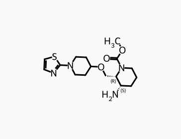 COC(=O)N1CCC[C@H](N)[C@@H]1COC1CCN(c2nccs2)CC1